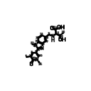 Cc1cc(-c2nc3cc(CNC(C(=O)O)[C@@H](C)O)ccc3n2C)cn(C)c1=O